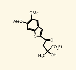 CCOC(=O)C(C)(O)CC(=O)c1cc2cc(OC)c(OC)cc2s1